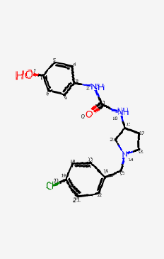 O=C(Nc1ccc(O)cc1)NC1CCN(Cc2ccc(Cl)cc2)C1